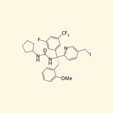 COc1ccccc1C[C@](NC(=O)NC1CCCC1)(c1cc(F)cc(C(F)(F)F)c1)c1ccc(CI)cn1